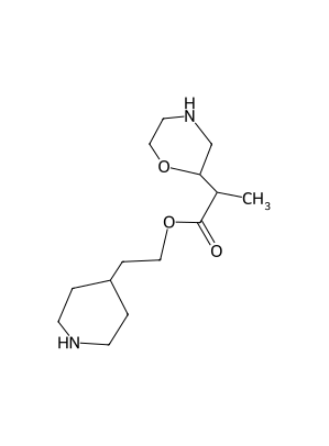 CC(C(=O)OCCC1CCNCC1)C1CNCCO1